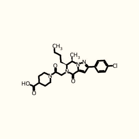 CCCC[C@H]1[C@@H](C)n2nc(-c3ccc(Cl)cc3)cc2C(=O)N1CC(=O)N1CCC(C(=O)O)CC1